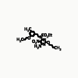 C=CCCOc1nc(N)c([N+](=O)[O-])c(N(CCc2cc(C)cc(OCC=C)c2)C(=O)OCC)n1